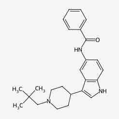 CC(C)(C)CN1CCC(c2c[nH]c3ccc(NC(=O)c4ccccc4)cc23)CC1